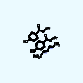 C/C=C/C=C/C(=O)OCC.CCCOC(=O)c1ccc(O)cc1.CCCOC(=O)c1ccc(O)cc1